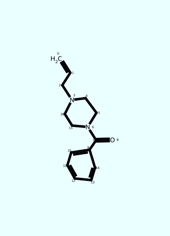 C=CCN1CCN(C(=O)c2ccccc2)CC1